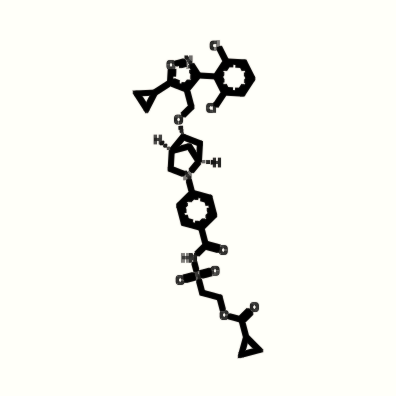 O=C(NS(=O)(=O)CCOC(=O)C1CC1)c1ccc(N2C[C@@H]3C[C@H]2C[C@H]3OCc2c(-c3c(Cl)cccc3Cl)noc2C2CC2)cc1